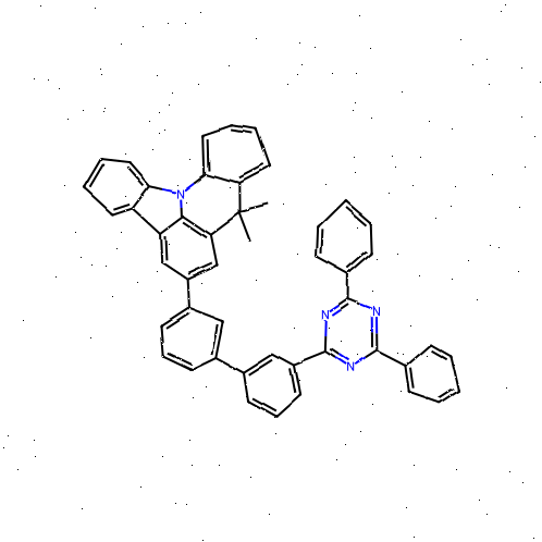 CC1(C)c2ccccc2-n2c3ccccc3c3cc(-c4cccc(-c5cccc(-c6nc(-c7ccccc7)nc(-c7ccccc7)n6)c5)c4)cc1c32